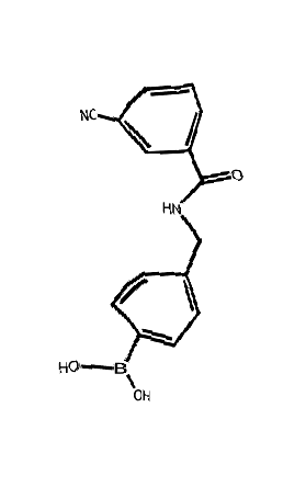 N#Cc1cccc(C(=O)NCc2ccc(B(O)O)cc2)c1